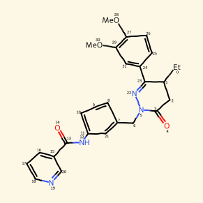 CCC1CC(=O)N(Cc2cccc(NC(=O)c3cccnc3)c2)N=C1c1ccc(OC)c(OC)c1